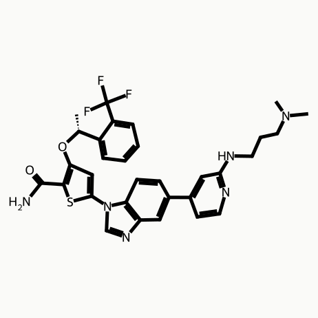 C[C@@H](Oc1cc(-n2cnc3cc(-c4ccnc(NCCCN(C)C)c4)ccc32)sc1C(N)=O)c1ccccc1C(F)(F)F